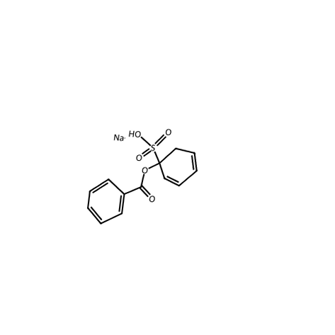 O=C(OC1(S(=O)(=O)O)C=CC=CC1)c1ccccc1.[Na]